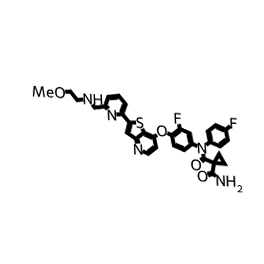 COCCNCc1cccc(-c2cc3nccc(Oc4ccc(N(C(=O)C5(C(N)=O)CC5)c5ccc(F)cc5)cc4F)c3s2)n1